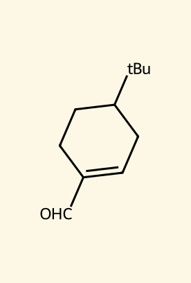 CC(C)(C)C1CC=C(C=O)CC1